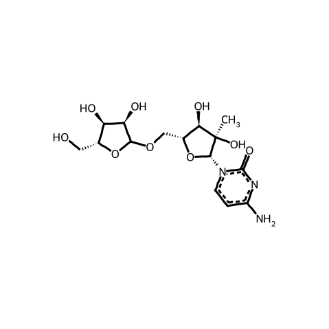 C[C@@]1(O)[C@H](O)[C@@H](COC2O[C@H](CO)[C@@H](O)[C@H]2O)O[C@H]1n1ccc(N)nc1=O